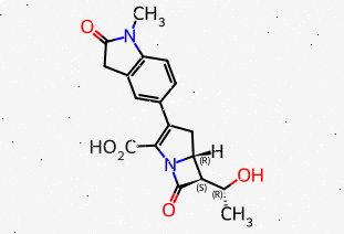 C[C@@H](O)[C@H]1C(=O)N2C(C(=O)O)=C(c3ccc4c(c3)CC(=O)N4C)C[C@H]12